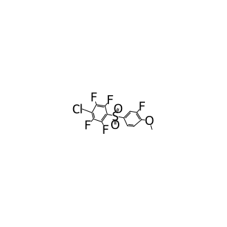 COc1ccc(S(=O)(=O)c2c(F)c(F)c(Cl)c(F)c2F)cc1F